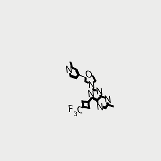 Cc1cc([C@@H]2CN(c3nc(C4CC(C(F)(F)F)C4)c4ncc(C)nc4n3)CCO2)ccn1